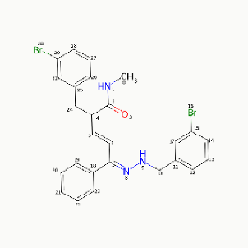 CNC(=O)C(/C=C/C(=N\NCc1cccc(Br)c1)c1ccccc1)Cc1cccc(Br)c1